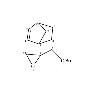 C1=CC2CCC1C2.CC(C)COCC1CO1